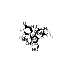 C[SiH](C)[C@@]1(n2ccc(=O)[nH]c2=O)O[C@H](CO)[C@@H](OC(C)(C)C)[C@H]1OC(C)(C)C